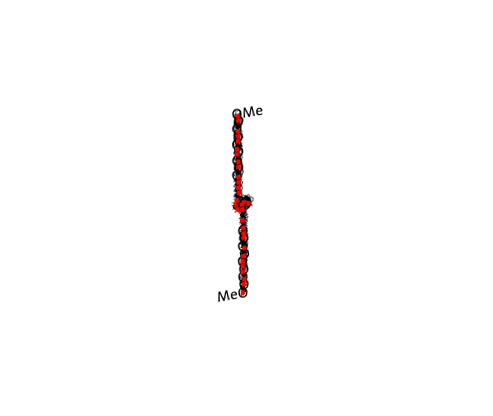 COCCOCCOCCOCCOCCOCCOCCOCCOCCCCCCCCCCC1(OC2(CCCCCCCCCCOCCOCCOCCOCCOCCOCCOCCOCCOC)CCCCO2)CCCCO1